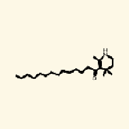 CCCCCCCCCCCCCC(=O)C1=C(C)NCCC1(C)C